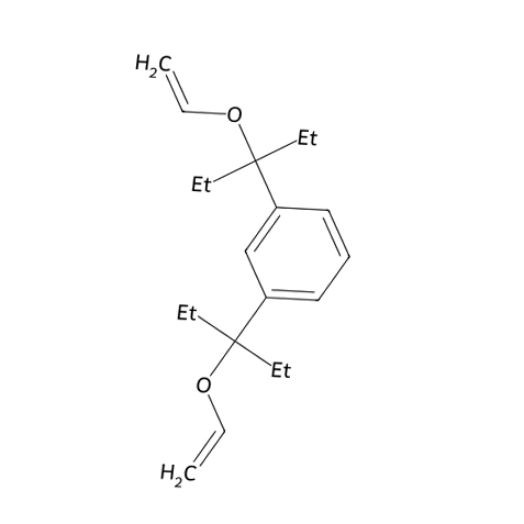 C=COC(CC)(CC)c1cccc(C(CC)(CC)OC=C)c1